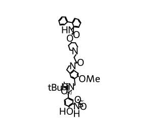 COc1cc2c(cc1CNC[C@H](O[Si](C)(C)C(C)(C)C)c1ccc(O)c(NS(C)(=O)=O)c1)CCN2C(=O)CCN1CCC(OC(=O)Nc2ccccc2-c2ccccc2)CC1